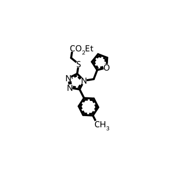 CCOC(=O)CSc1nnc(-c2ccc(C)cc2)n1Cc1ccco1